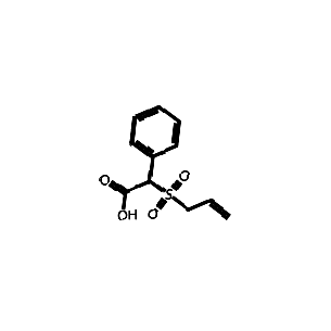 C=CCS(=O)(=O)C(C(=O)O)c1ccccc1